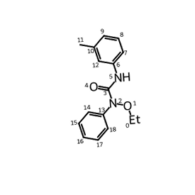 CCON(C(=O)Nc1cccc(C)c1)c1ccccc1